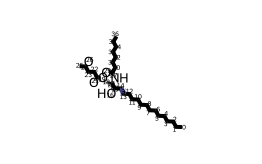 CCCCCCCCCCCCC/C=C/[C@@H](O)[C@H](COC(=O)CCC(C)=O)NC(=O)CCCCCCC